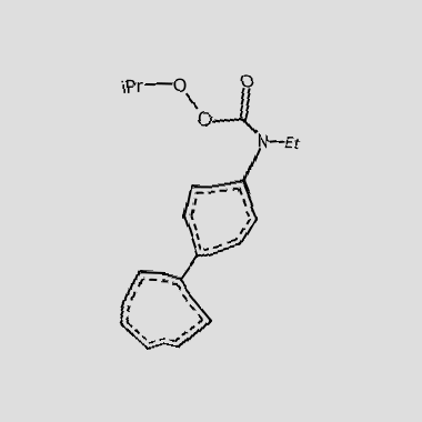 CCN(C(=O)OOC(C)C)c1ccc(-c2ccccc2)cc1